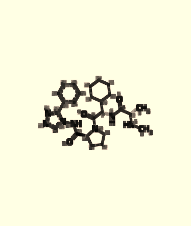 CN[C@@H](C)C(=O)N[C@H](C(=O)N1CCC[C@H]1C(=O)Nn1cnnc1-c1ccccc1)C1CCCCC1